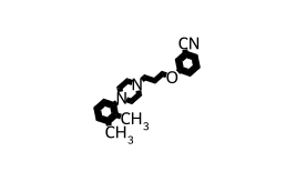 Cc1cccc(N2CCN(CCCOc3cccc(C#N)c3)CC2)c1C